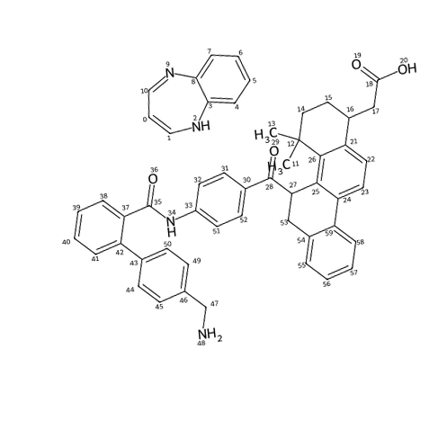 C1=CNc2ccccc2N=C1.CC1(C)CCC(CC(=O)O)c2ccc3c(c21)C(C(=O)c1ccc(NC(=O)c2ccccc2-c2ccc(CN)cc2)cc1)Cc1ccccc1-3